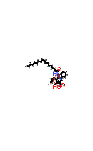 CCCCCCCC/C=C\CCCCCCCC(=O)N[C@@H]1CCCC[C@H]1N(CCC(=O)O)C(=O)C1OC(C)(C)OCC1(C)C